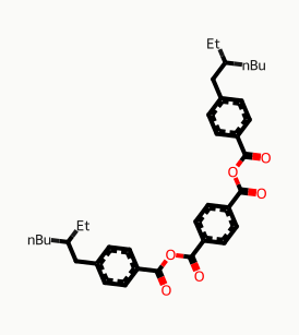 CCCCC(CC)Cc1ccc(C(=O)OC(=O)c2ccc(C(=O)OC(=O)c3ccc(CC(CC)CCCC)cc3)cc2)cc1